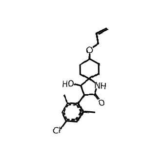 C=CCOC1CCC2(CC1)NC(=O)C(c1c(C)cc(Cl)cc1C)C2O